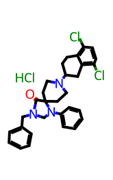 Cl.O=C1N(Cc2ccccc2)CN(c2ccccc2)C12CCN(C1CCc3c(Cl)ccc(Cl)c3C1)CC2